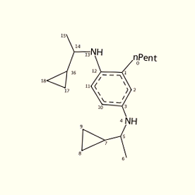 CCCCCc1cc(NC(C)C2CC2)ccc1NC(C)C1CC1